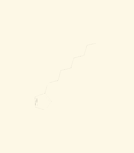 ClCCCCCCOc1ccsc1